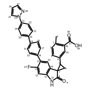 Cc1ccc(C2CC23C(=O)Nc2cc(F)c(-c4ccc(-c5ccc(-n6cccn6)cc5)cc4)cc23)cc1C(=O)O